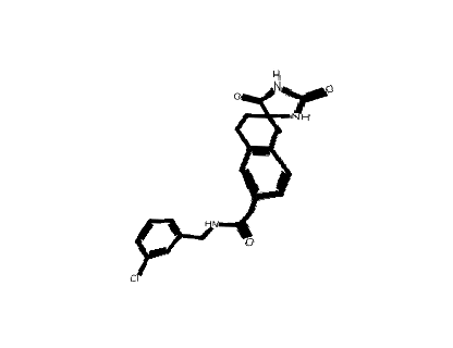 O=C1NC(=O)C2(CCc3cc(C(=O)NCc4cccc(Cl)c4)ccc3C2)N1